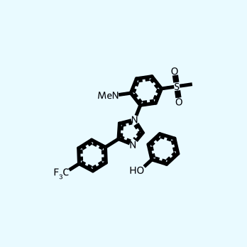 CNc1ccc(S(C)(=O)=O)cc1-n1cnc(-c2ccc(C(F)(F)F)cc2)c1.Oc1ccccc1